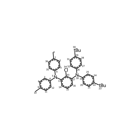 Cc1ccc(N(c2ccc(C)cc2)c2cccc(N(c3ccc(C(C)(C)C)cc3)c3ccc(C(C)(C)C)cc3)c2Cl)cc1